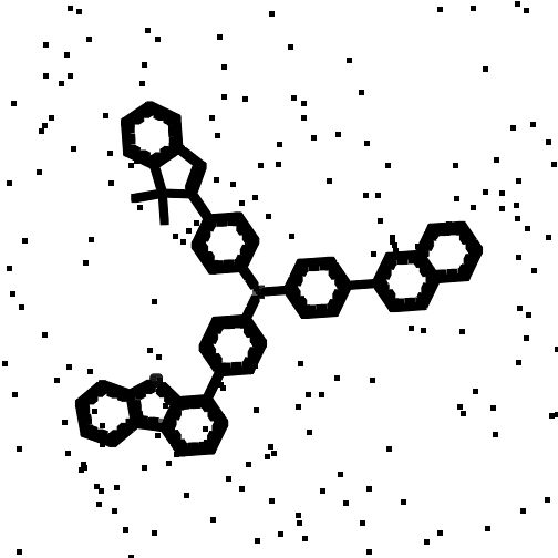 CC1(C)C(c2ccc(N(c3ccc(-c4ccc5ccccc5c4)cc3)c3ccc(-c4cccc5c4oc4ccccc45)cc3)cc2)=Cc2ccccc21